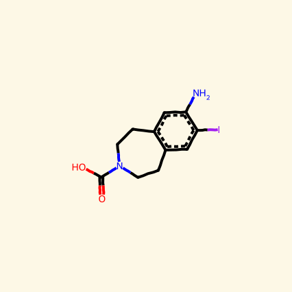 Nc1cc2c(cc1I)CCN(C(=O)O)CC2